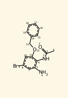 CC(=O)Nc1c(N)cc(Br)cc1OCc1ccccc1